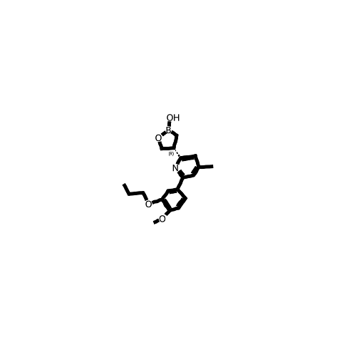 CCCOc1cc(-c2cc(C)cc([C@@H]3COB(O)C3)n2)ccc1OC